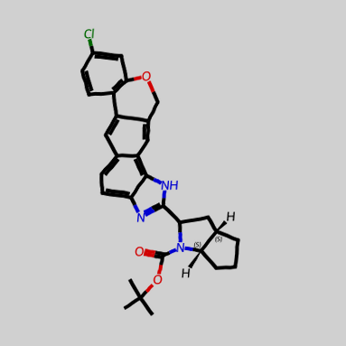 CC(C)(C)OC(=O)N1C(c2nc3ccc4cc5c(cc4c3[nH]2)COc2cc(Cl)ccc2-5)C[C@@H]2CCC[C@@H]21